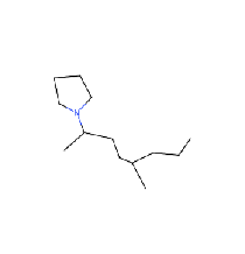 CCCC(C)CCC(C)N1CCCC1